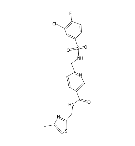 Cc1csc(CNC(=O)c2cnc(CNS(=O)(=O)c3ccc(F)c(Cl)c3)cn2)n1